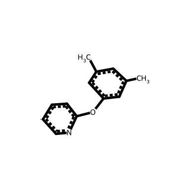 Cc1cc(C)cc(Oc2cc[c]cn2)c1